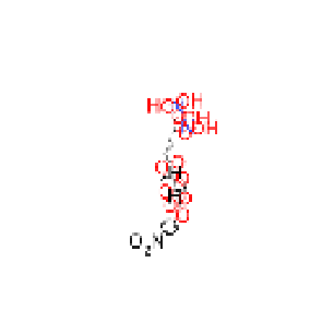 O=C(CCC[C@H](CON(O)O)ON(O)O)O[C@H]1CO[C@H]2[C@@H]1OC[C@@H]2OC(=O)Oc1ccc([N+](=O)[O-])cc1